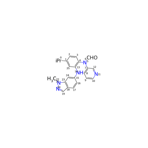 CC(C)c1ccc(N(C=O)c2cccnc2)c(Nc2ccc3cnn(C)c3c2)c1